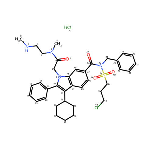 CNCCN(C)C(=O)Cn1c(-c2ccccc2)c(C2CCCCC2)c2ccc(C(=O)N(Cc3ccccc3)S(=O)(=O)CCCCl)cc21.Cl